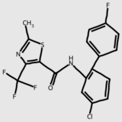 Cc1nc(C(F)(F)F)c(C(=O)Nc2cc(Cl)ccc2-c2ccc(F)cc2)s1